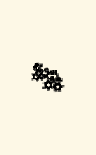 CC(C)(C)OC(=O)N1CCCC12CN([C@@H](CO[Si](c1ccccc1)(c1ccccc1)C(C)(C)C)C(N)=O)C2=O